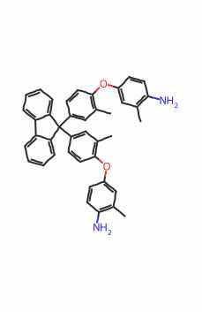 Cc1cc(Oc2ccc(C3(c4ccc(Oc5ccc(N)c(C)c5)c(C)c4)c4ccccc4-c4ccccc43)cc2C)ccc1N